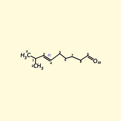 CC(C)/C=C/CCCCC=O